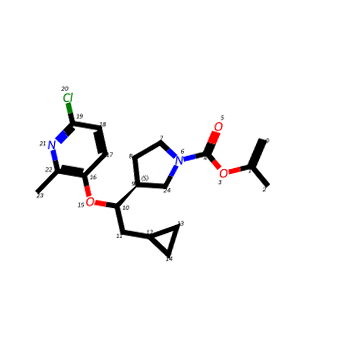 C=C(C)OC(=O)N1CC[C@H](C(CC2CC2)Oc2ccc(Cl)nc2C)C1